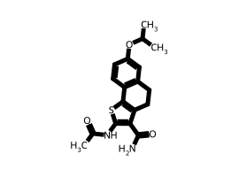 CC(=O)Nc1sc2c(c1C(N)=O)CCc1cc(OC(C)C)ccc1-2